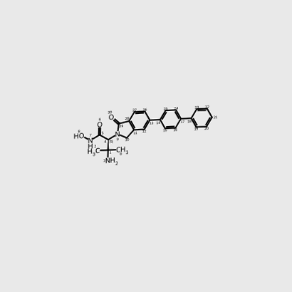 CC(C)(N)[C@@H](C(=O)NO)N1Cc2cc(-c3ccc(-c4ccccc4)cc3)ccc2C1=O